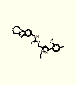 CCn1nc(-c2ccc(C)cc2OC)cc1COC(=O)Nc1ccc2c(c1)nc1n2CCOC1